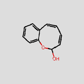 OC1C=CC=Cc2ccccc2O1